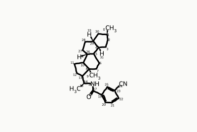 C[C@H]1CC[C@@H]2C3CC[C@@]4(C)C(CCC4[C@H](C)NC(=O)c4cccc(C#N)c4)[C@@H]3CC[C@@H]2C1